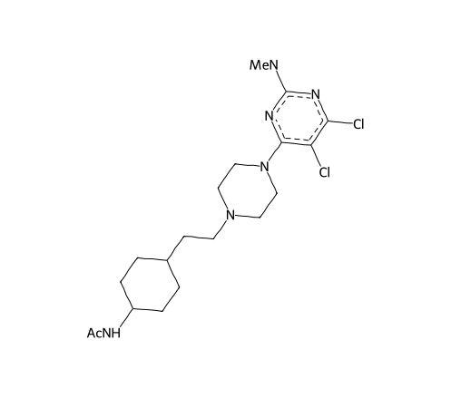 CNc1nc(Cl)c(Cl)c(N2CCN(CCC3CCC(NC(C)=O)CC3)CC2)n1